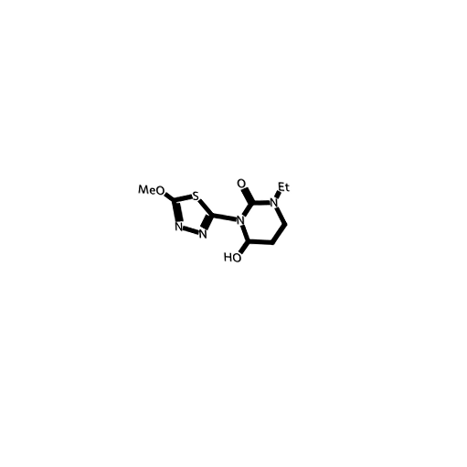 CCN1CCC(O)N(c2nnc(OC)s2)C1=O